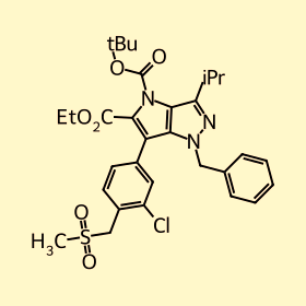 CCOC(=O)c1c(-c2ccc(CS(C)(=O)=O)c(Cl)c2)c2c(c(C(C)C)nn2Cc2ccccc2)n1C(=O)OC(C)(C)C